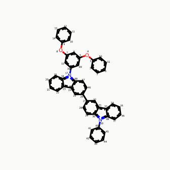 c1ccc(Oc2cc(Oc3ccccc3)cc(-n3c4ccccc4c4cc(-c5ccc6c(c5)c5ccccc5n6-c5ccccc5)ccc43)c2)cc1